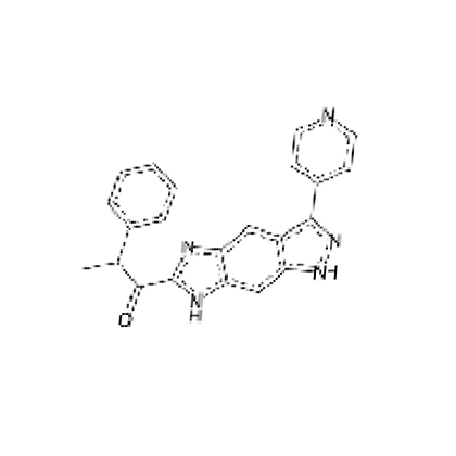 CC(C(=O)c1nc2cc3c(-c4ccncc4)n[nH]c3cc2[nH]1)c1ccccc1